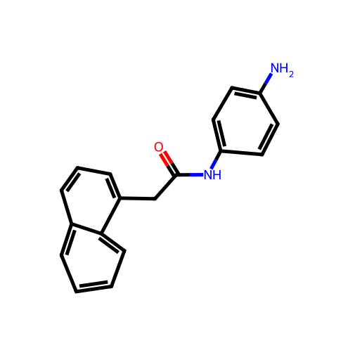 Nc1ccc(NC(=O)Cc2cccc3ccccc23)cc1